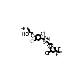 OC[C@H](O)COc1cc(Cl)c(-c2nnc(-c3cn4cc(C(F)(F)F)cc(Cl)c4n3)s2)cc1Cl